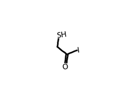 O=C(I)CS